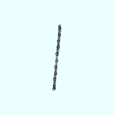 C(CCCOCCCCCCOCCCCCCOCCCCCCOCCCCCCOCC1CO1)CCOCCCCCCOCCCCCCOCCCCCCOCCCCCCOCC1CC1